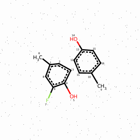 Cc1ccc(O)c(F)c1.Cc1ccc(O)cc1